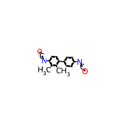 Cc1c(N=C=O)ccc(-c2ccc(N=C=O)cc2)c1C